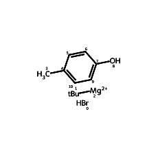 Br.C[C](C)(C)[Mg+2].Cc1ccc(O)cc1